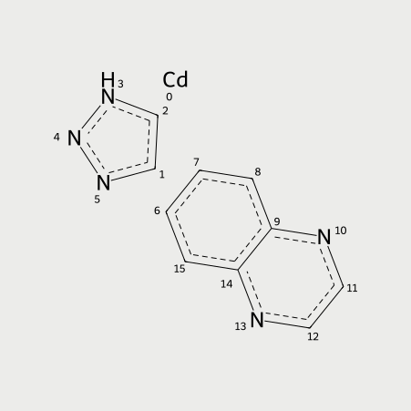 [Cd].c1c[nH]nn1.c1ccc2nccnc2c1